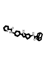 O=C(Nc1ccc(-c2cc3ccc(NC(=O)C45CC6CC(CC(C6)C4)C5)cc3[nH]2)cc1)c1ccccn1